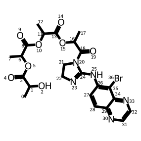 CC(O)C(=O)OC(C)C(=O)OC(C)C(=O)OC(C)C(=O)N1CCN=C1Nc1ccc2nccnc2c1Br